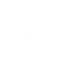 CC1CCc2nc3c(F)cccc3n21